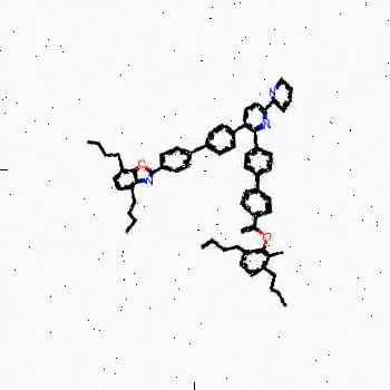 C=C(Oc1c(CCCC)ccc(CCCC)c1C)c1ccc(-c2ccc(-c3nc(-c4ccccn4)ccc3-c3ccc(-c4ccc(-c5nc6c(CCCC)ccc(CCCC)c6o5)cc4)cc3)cc2)cc1